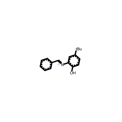 CC(C)(C)c1ccc(O)c(/N=C/c2ccccc2)c1